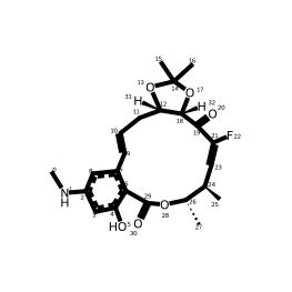 CNc1cc(O)c2c(c1)/C=C/C[C@@H]1OC(C)(C)O[C@@H]1C(=O)/C(F)=C\[C@@H](C)[C@H](C)OC2=O